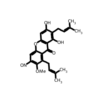 COc1c(N=O)cc2oc3cc(O)c(CC=C(C)C)c(O)c3c(=O)c2c1CC=C(C)C